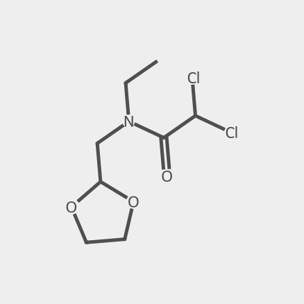 CCN(CC1OCCO1)C(=O)C(Cl)Cl